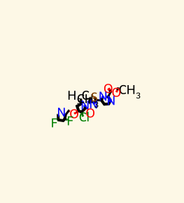 CCOC(=O)c1nccc(-c2nc(-n3c(C)cc(OCc4ncc(F)cc4F)c(Cl)c3=O)c(C)s2)n1